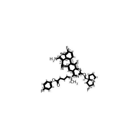 CN(CCCC(=O)Oc1ccc(F)cc1)c1nc(OC[C@@]23CCCN2C[C@H](F)C3)nc2c(F)c(-c3ccc(F)c4sc(N)c(C#N)c34)c(Cl)cc12